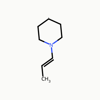 CC=CN1CC[CH]CC1